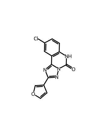 O=c1[nH]c2ccc(Cl)cc2c2nc(-c3ccoc3)nn12